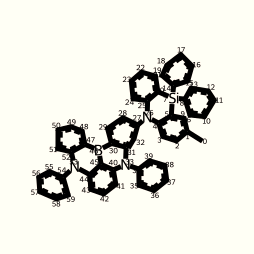 Cc1ccc2c(c1)[Si](c1ccccc1)(c1ccccc1)c1ccccc1N2c1ccc2c(c1)N(c1ccccc1)c1cccc3c1B2c1ccccc1N3c1ccccc1